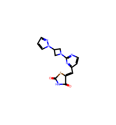 O=C1NC(=O)C(=Cc2ccnc(N3CC(n4cccn4)C3)n2)S1